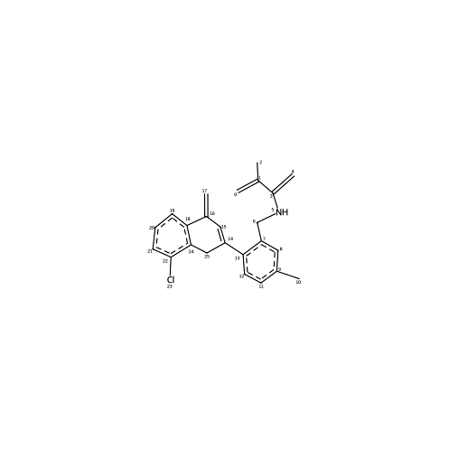 C=C(C)C(=C)NCc1cc(C)ccc1C1=CC(=C)c2cccc(Cl)c2C1